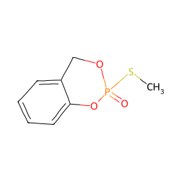 CSP1(=O)OCc2ccccc2O1